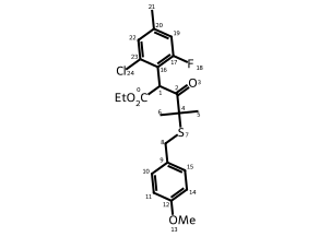 CCOC(=O)C(C(=O)C(C)(C)SCc1ccc(OC)cc1)c1c(F)cc(C)cc1Cl